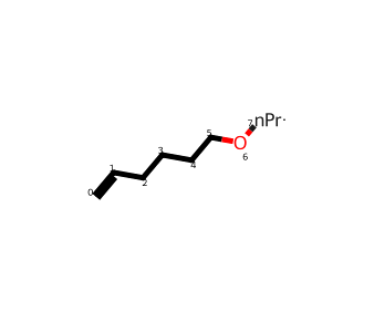 C=CCCCCO[CH]CC